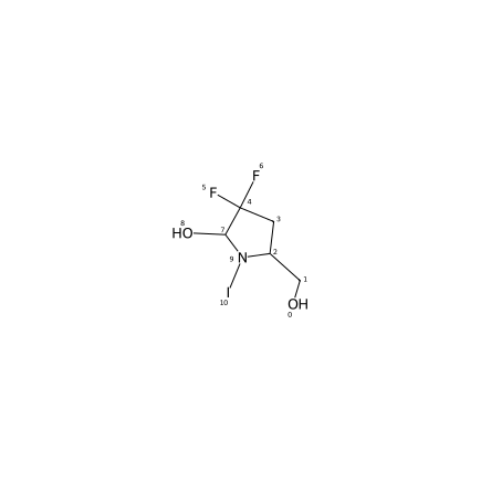 OCC1CC(F)(F)C(O)N1I